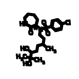 CC(CCC(O)C(C)(C)O)CCN([C@@H]1CCCCNC1=O)S(=O)(=O)c1ccc(Cl)cc1